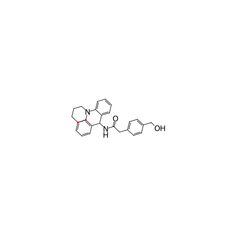 O=C(Cc1ccc(CO)cc1)NC(c1ccccc1)c1ccccc1N1CCCCC1